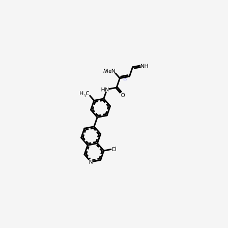 CN/C(=C\C=N)C(=O)Nc1ccc(-c2ccc3cncc(Cl)c3c2)cc1C